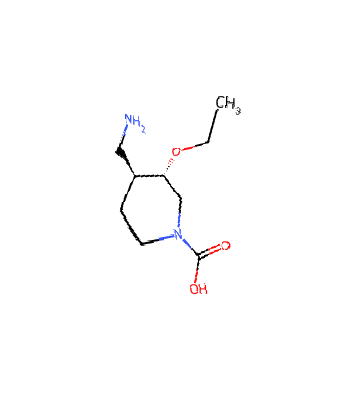 CCO[C@@H]1CN(C(=O)O)CC[C@H]1CN